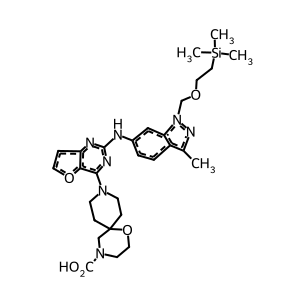 Cc1nn(COCC[Si](C)(C)C)c2cc(Nc3nc(N4CCC5(CC4)CN(C(=O)O)CCO5)c4occc4n3)ccc12